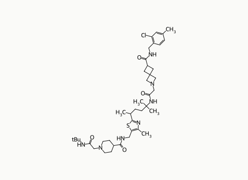 Cc1ccc(CNC(=O)C2CC3(C2)CN(CC(=O)NC(C)(C)CCC(C)c2nc(C)c(CNC(=O)C4CCN(CC(=O)NC(C)(C)C)CC4)s2)C3)c(Cl)c1